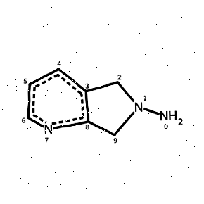 NN1Cc2cccnc2C1